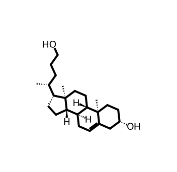 C[C@H](CCCO)[C@H]1CC[C@H]2[C@@H]3CC=C4C[C@@H](O)CC[C@]4(C)[C@H]3CC[C@]12C